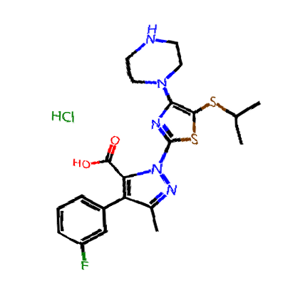 Cc1nn(-c2nc(N3CCNCC3)c(SC(C)C)s2)c(C(=O)O)c1-c1cccc(F)c1.Cl